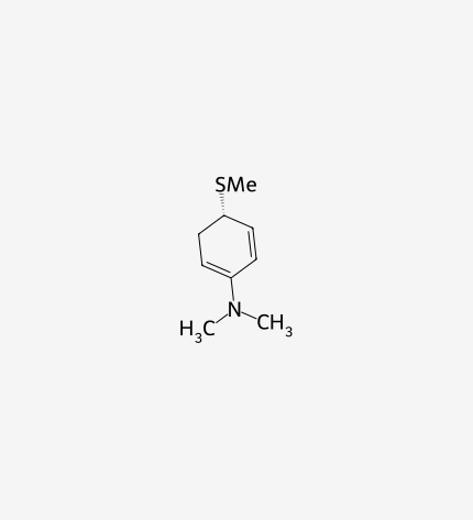 CS[C@@H]1C=CC(N(C)C)=CC1